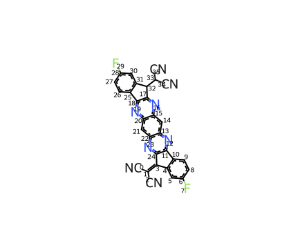 N#CC(C#N)=C1c2cc(F)ccc2-c2nc3cc4nc5c(nc4cc3nc21)-c1ccc(F)cc1C5C(C#N)C#N